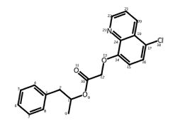 CC(Cc1ccccc1)OC(=O)COc1ccc(Cl)c2cccnc12